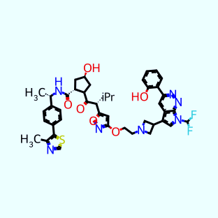 Cc1ncsc1-c1ccc([C@H](C)NC(=O)[C@@H]2C[C@@H](O)CC2C(=O)[C@@H](c2cc(OCCN3CC(c4cn(C(F)F)c5nnc(-c6ccccc6O)cc45)C3)no2)C(C)C)cc1